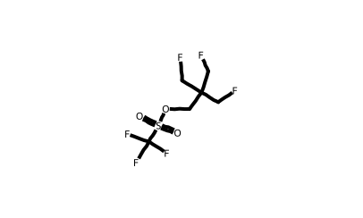 O=S(=O)(OCC(CF)(CF)CF)C(F)(F)F